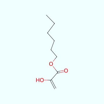 C=C(O)C(=O)OCCCCCC